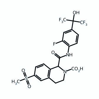 CS(=O)(=O)c1ccc2c(c1)CCN(C(=O)O)C2C(=O)Nc1ccc(C(O)(C(F)(F)F)C(F)(F)F)cc1F